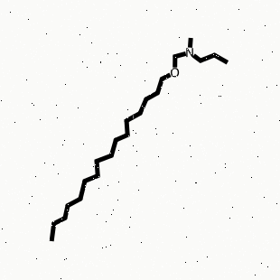 CCCCCCCCCCCCCCCCOCN(C)CCC